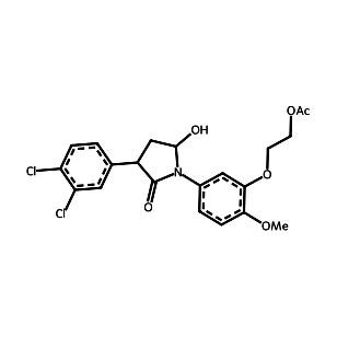 COc1ccc(N2C(=O)C(c3ccc(Cl)c(Cl)c3)CC2O)cc1OCCOC(C)=O